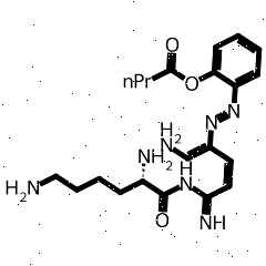 CCCC(=O)Oc1ccccc1/N=N/C(/C=C\C(=N)NC(=O)[C@@H](N)CCCCN)=C\N